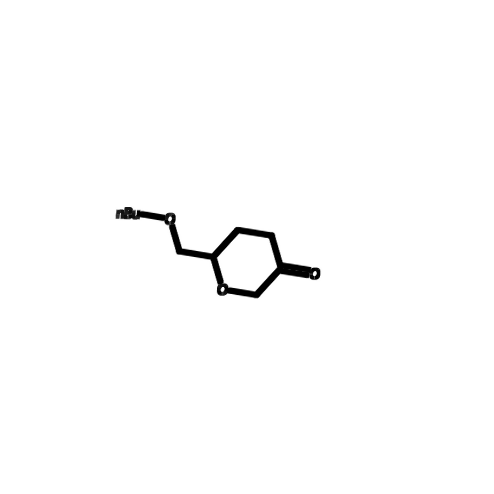 CCCCOCC1CCC(=O)CO1